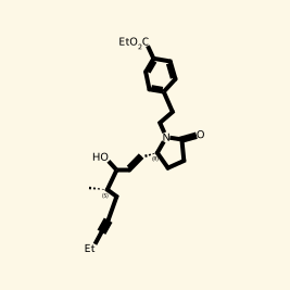 CCC#CC[C@H](C)C(O)C=C[C@H]1CCC(=O)N1CCc1ccc(C(=O)OCC)cc1